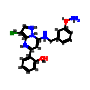 NOc1cccc(CNc2cc(-c3ccccc3O)nc3c(Br)cnn23)c1